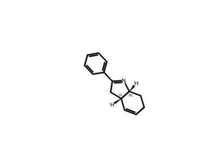 C1=C[C@@H]2CC(c3ccccc3)=N[C@@H]2CC1